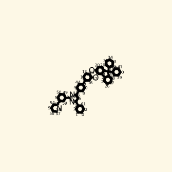 c1ccc(-c2cc(-c3ccc(-c4ccc5c(c4)Oc4c(ccc6c4-c4ccccc4C6(c4ccccc4)c4ccccc4)O5)cc3)nc(-c3cccc(-c4ccccn4)c3)n2)cc1